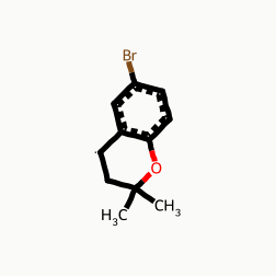 CC1(C)C[CH]c2cc(Br)ccc2O1